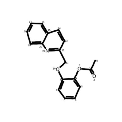 CC(=O)Oc1ccccc1OCc1ccc2ccccc2n1